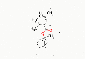 CC(C)=CC(C(=O)OC1(C)CC2CCC1C2)=C(C)C